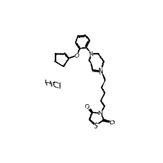 Cl.O=C1CSC(=O)N1CCCCCN1CCN(c2ccccc2OC2CCCC2)CC1